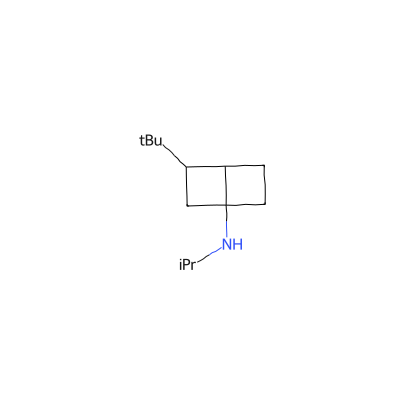 CC(C)NC12CCC1C(C(C)(C)C)C2